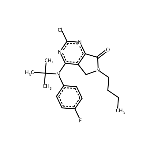 CCCCN1Cc2c(nc(Cl)nc2N(c2ccc(F)cc2)C(C)(C)C)C1=O